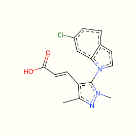 Cc1nn(C)c(-n2ccc3ccc(Cl)cc32)c1C=CC(=O)O